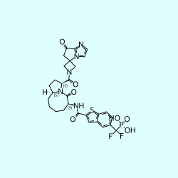 O=C(N[C@H]1CCCC[C@H]2CC[C@@H](C(=O)N3CC4(CC(=O)c5nccn54)C3)N2C1=O)c1cc2cc(C(F)(F)P(=O)(O)O)ccc2s1